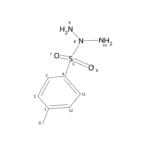 Cc1ccc(S(=O)(=O)N(N)N)cc1